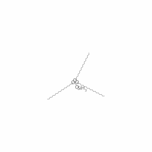 CCCCCCCCCCCCCCCCCCOC(CCO[SiH3])(OCCCCCCCCCCCCCCCCCC)OCCCCCCCCCCCCCCCCCC